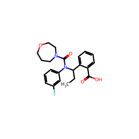 CCC(c1ccccc1C(=O)O)N(C(=O)N1CCCOCC1)c1cccc(F)c1